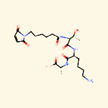 BC(=O)[C@@H](C)NC(=O)[C@H](CCCCN)NC(=O)[C@@H](NC(=O)CCCCCN1C(=O)C=CC1=O)[C@@H](C)O